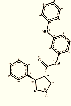 O=C(Nc1cccc(Nc2ccccc2)c1)[C@@H]1CNC[C@H]1c1ccccc1